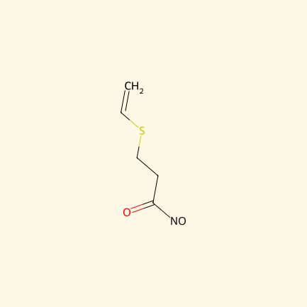 C=CSCCC(=O)N=O